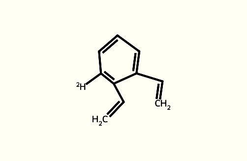 [2H]c1cccc(C=C)c1C=C